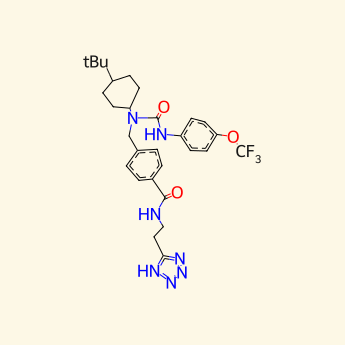 CC(C)(C)C1CCC(N(Cc2ccc(C(=O)NCCc3nnn[nH]3)cc2)C(=O)Nc2ccc(OC(F)(F)F)cc2)CC1